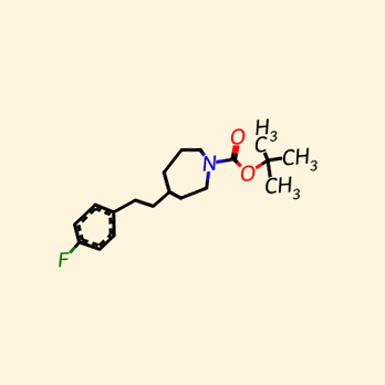 CC(C)(C)OC(=O)N1CCCC(CCc2ccc(F)cc2)CC1